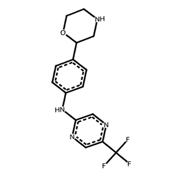 FC(F)(F)c1cnc(Nc2ccc(C3CNCCO3)cc2)cn1